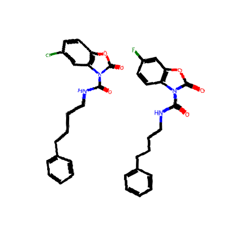 O=C(NCCCCc1ccccc1)n1c(=O)oc2cc(F)ccc21.O=C(NCCCCc1ccccc1)n1c(=O)oc2ccc(Cl)cc21